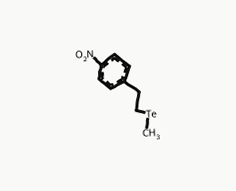 C[Te]CCc1ccc([N+](=O)[O-])cc1